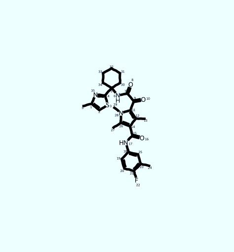 Cc1csc(C2(NC(=O)C(=O)c3c(C)c(C(=O)Nc4ccc(F)c(C)c4)c(C)n3C)CCCCC2)n1